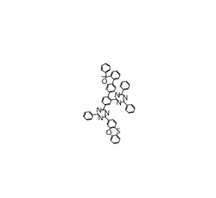 CC1(c2ccccc2)Oc2cc(-c3ccc(-c4nc(-c5ccccc5)nc(-c5ccc6c(c5)Oc5ccccc5S6)n4)cc3-c3nc(-c4ccccc4)nc(-c4ccccc4)n3)ccc2-c2ccccc21